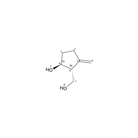 C=C1CC[C@H](O)[C@H]1CO